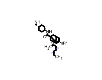 C=C(/C=C\C=C/C)[C@]12CC3CC(C(=O)N[C@H]4CC[C@@H](CN)CC4)(C[C@](CCC)(C3)C1)C2